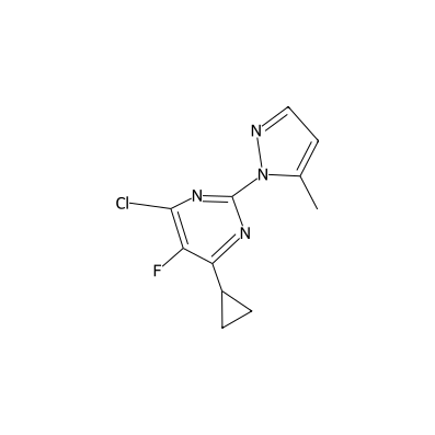 Cc1ccnn1-c1nc(Cl)c(F)c(C2CC2)n1